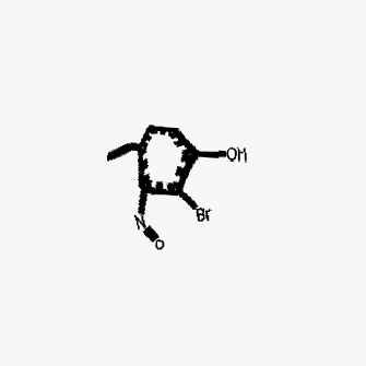 Cc1ccc(O)c(Br)c1N=O